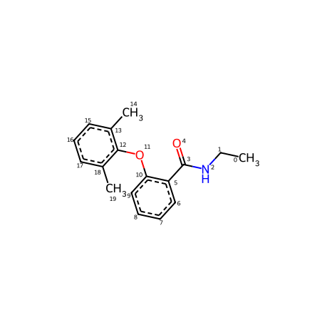 CCNC(=O)c1ccccc1Oc1c(C)cccc1C